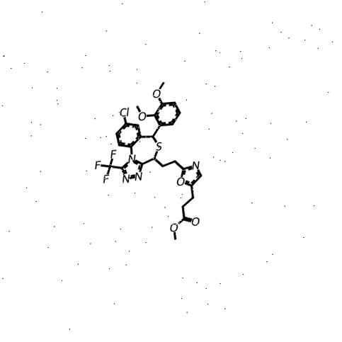 COC(=O)CCc1cnc(CCC2SC(c3cccc(OC)c3OC)c3cc(Cl)ccc3-n3c2nnc3C(F)(F)F)o1